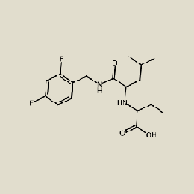 CCC(NC(CC(C)C)C(=O)NCc1ccc(F)cc1F)C(=O)O